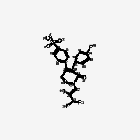 NS(=O)(=O)c1ccc(-c2cnn(C=C(F)C(F)F)c(=O)c2-c2ccc(F)cc2)cc1